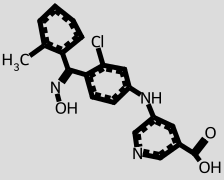 Cc1ccccc1C(=NO)c1ccc(Nc2cncc(C(=O)O)c2)cc1Cl